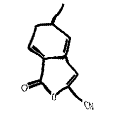 CC1C=c2cc(C#N)oc(=O)c2=CC1